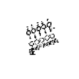 CCCC[C@H]1CC[C@H](C#Cc2ccc([S])cc2)CC1.CCCC[C@H]1CC[C@H](C#Cc2ccc([S])cc2)CC1.CCCC[C@H]1CC[C@H](C#Cc2ccc([S])cc2)CC1.CCCC[C@H]1CC[C@H](C#Cc2ccc([S])cc2)CC1.CCCC[C@H]1CC[C@H](C#Cc2ccc([S])cc2)CC1.F.F.F.F.F